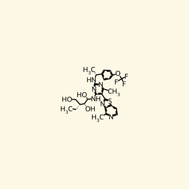 CC[C@H](CO)[C@@H](O)[C@@H](O)Nc1nc(N[C@H](C)c2ccc(OC(F)(F)F)cc2)nc(C)c1-c1nc2c(C)nccc2s1